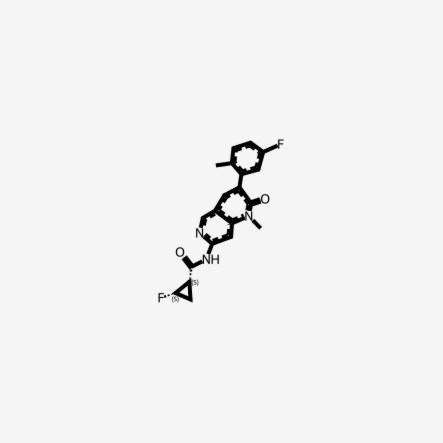 Cc1ccc(F)cc1-c1cc2cnc(NC(=O)[C@@H]3C[C@@H]3F)cc2n(C)c1=O